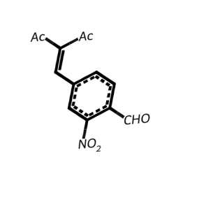 CC(=O)C(=Cc1ccc(C=O)c([N+](=O)[O-])c1)C(C)=O